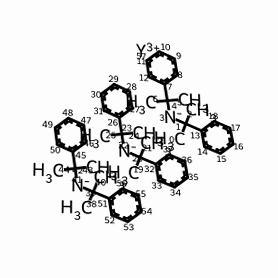 CC(C)([N-]C(C)(C)c1ccccc1)c1ccccc1.CC(C)([N-]C(C)(C)c1ccccc1)c1ccccc1.CC(C)([N-]C(C)(C)c1ccccc1)c1ccccc1.[Y+3]